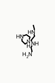 C1CNCCN1.CCNCCNCCN